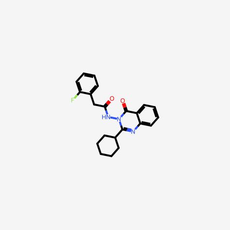 O=C(Cc1ccccc1F)Nn1c(C2CCCCC2)nc2ccccc2c1=O